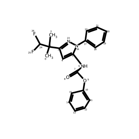 CC(C)(c1cc(NC(=O)Oc2ccccc2)n(-c2ccccc2)n1)C(F)F